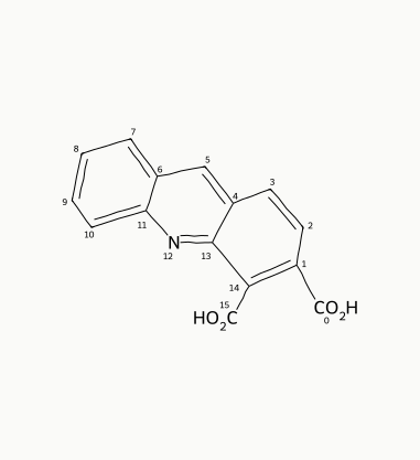 O=C(O)c1ccc2cc3ccccc3nc2c1C(=O)O